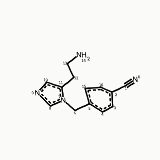 N#Cc1ccc(Cn2cncc2CCN)cc1